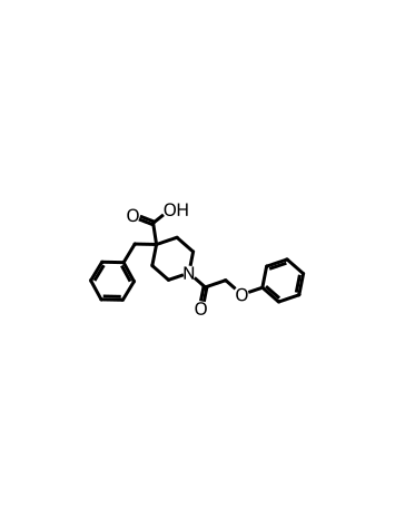 O=C(COc1ccccc1)N1CCC(Cc2ccccc2)(C(=O)O)CC1